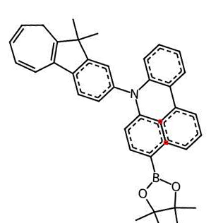 CC1(C)C2=C(C=CC=CC2)c2ccc(N(c3ccc(B4OC(C)(C)C(C)(C)O4)cc3)c3ccccc3-c3ccccc3)cc21